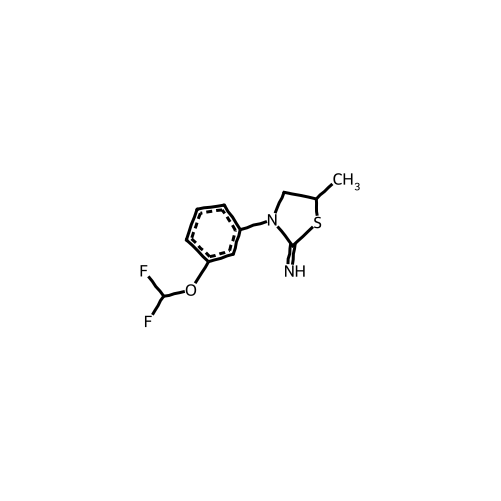 CC1CN(c2cccc(OC(F)F)c2)C(=N)S1